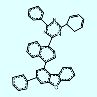 C1=CCC(c2nc(-c3ccccc3)nc(-c3ccc(-c4cc(-c5ccccc5)cc5oc6ccccc6c45)c4ccccc34)n2)C=C1